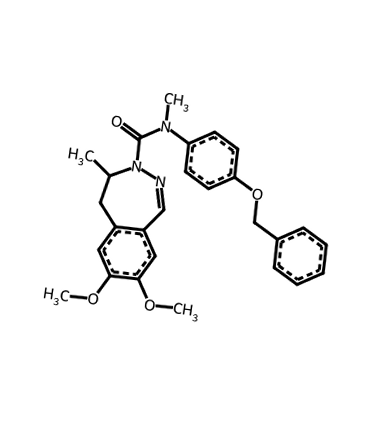 COc1cc2c(cc1OC)CC(C)N(C(=O)N(C)c1ccc(OCc3ccccc3)cc1)N=C2